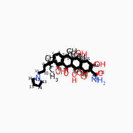 C[C@H]1c2ccc(C(C)(C)CCCN3CCCC3)c(O)c2C(=O)C2=C(O)[C@]3(O)C(=O)C(C(N)=O)=C(O)C[C@@H]3[C@@H](O)[C@@H]21